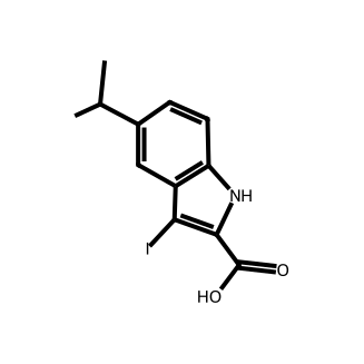 CC(C)c1ccc2[nH]c(C(=O)O)c(I)c2c1